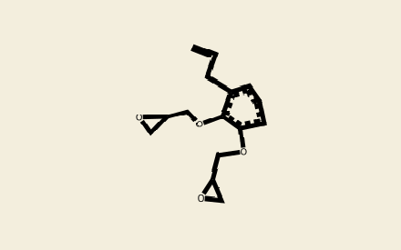 C=CCc1cccc(OCC2CO2)c1OCC1CO1